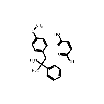 COc1ccc(CC(C)(N)c2ccccc2)cc1.O=C(O)/C=C\C(=O)O